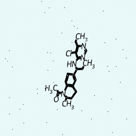 CCc1ncnc(NC(CC)c2ccc3c(c2)CCC(C)N3C(C)=O)c1Cl